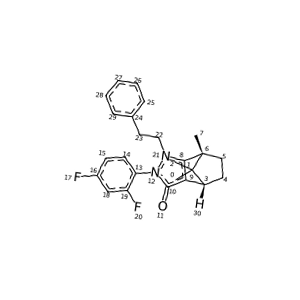 CC1(C)[C@@H]2CC[C@@]1(C)c1c2c(=O)n(-c2ccc(F)cc2F)n1CCc1ccccc1